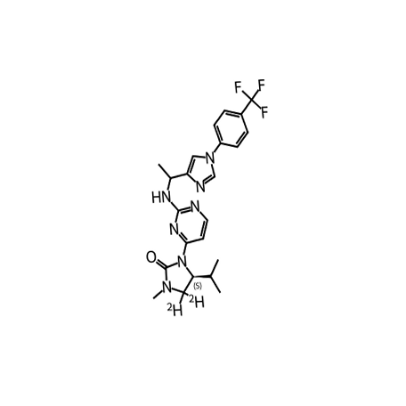 [2H]C1([2H])[C@H](C(C)C)N(c2ccnc(NC(C)c3cn(-c4ccc(C(F)(F)F)cc4)cn3)n2)C(=O)N1C